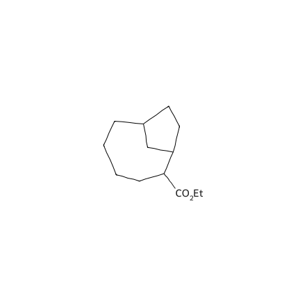 CCOC(=O)C1CCCCC2CCC1C2